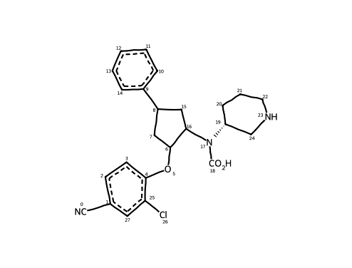 N#Cc1ccc(OC2CC(c3ccccc3)CC2N(C(=O)O)[C@@H]2CCCNC2)c(Cl)c1